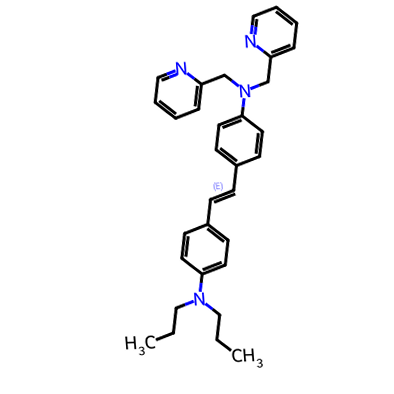 CCCN(CCC)c1ccc(/C=C/c2ccc(N(Cc3ccccn3)Cc3ccccn3)cc2)cc1